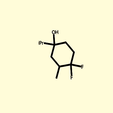 CC1CC(O)(C(C)C)CCC1(F)F